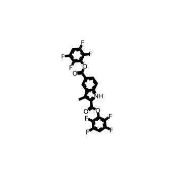 Cc1c(C(=O)Oc2c(F)c(F)cc(F)c2F)[nH]c2ccc(C(=O)Oc3c(F)c(F)cc(F)c3F)cc12